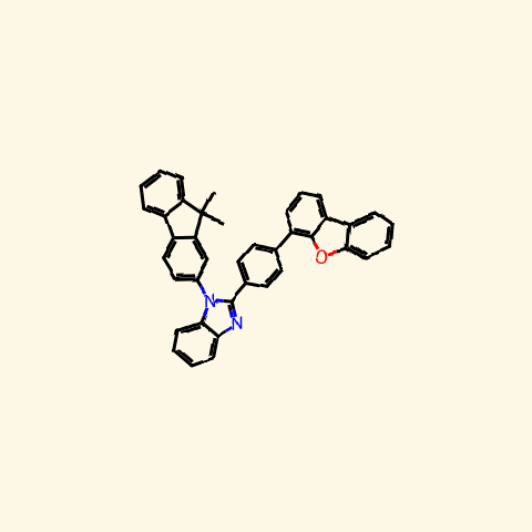 CC1(C)c2ccccc2-c2ccc(-n3c(-c4ccc(-c5cccc6c5oc5ccccc56)cc4)nc4ccccc43)cc21